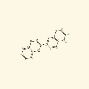 [c]1ccc2c(c1)OC(c1ccc3c(c1)CC=CO3)=CC2